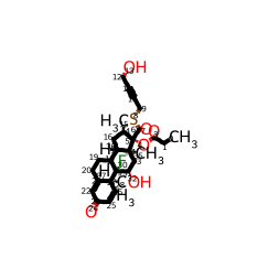 CCC(=O)O[C@]1(C(=O)SCC#CCO)[C@H](C)C[C@H]2[C@@H]3CCC4=CC(=O)C=C[C@]4(C)[C@@]3(F)[C@@H](O)C[C@@]21C